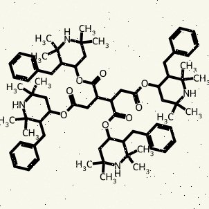 CC1(C)CC(OC(=O)CC(C(=O)OC2CC(C)(C)NC(C)(C)C2Cc2ccccc2)C(CC(=O)OC2CC(C)(C)NC(C)(C)C2Cc2ccccc2)C(=O)OC2CC(C)(C)NC(C)(C)C2Cc2ccccc2)C(Cc2ccccc2)C(C)(C)N1